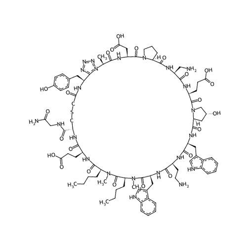 CCCC[C@H]1C(=O)N(C)[C@@H](CCCC)C(=O)N[C@@H](CCC(=O)O)C(=O)N[C@H](C(=O)NCC(N)=O)CSCC(=O)N[C@@H](Cc2ccc(O)cc2)c2nnnn2[C@@H](C)C(=O)N[C@@H](CC(=O)O)C(=O)N2CCC[C@H]2C(=O)N[C@@H](CN)C(=O)N[C@@H](CCC(=O)O)C(=O)N2C[C@H](O)C[C@H]2C(=O)N[C@@H](Cc2c[nH]c3ccccc23)C(=O)N[C@@H](CCN)C(=O)N[C@@H](Cc2c[nH]c3ccccc23)C(=O)N1C